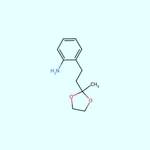 CC1(CCc2ccccc2N)OCCO1